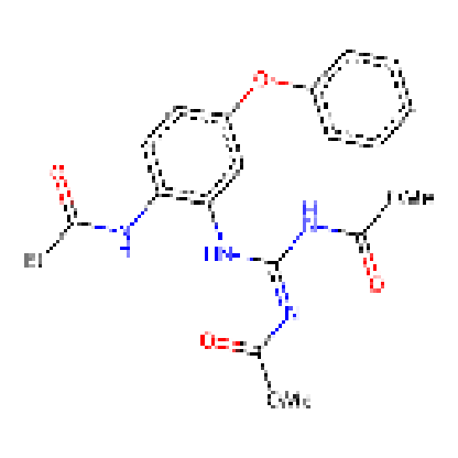 CCC(=O)Nc1ccc(Oc2ccccc2)cc1NC(=NC(=O)OC)NC(=O)OC